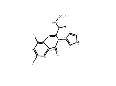 CC(NC(=O)O)c1nc2c(F)cc(F)cc2c(=O)n1-c1cc[nH]n1